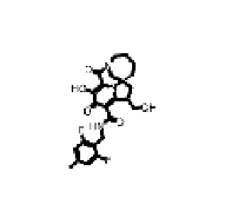 Cc1cc(F)c(CNC(=O)c2c3n4c(c(O)c2=O)C(=O)N2CCCC[C@]4(CC3CO)C2)c(F)c1